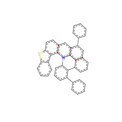 c1ccc(-c2cccc(N(c3cccc(-c4ccccc4)c3-c3ccccc3-c3ccccc3)c3cccc4sc5ccccc5c34)c2)cc1